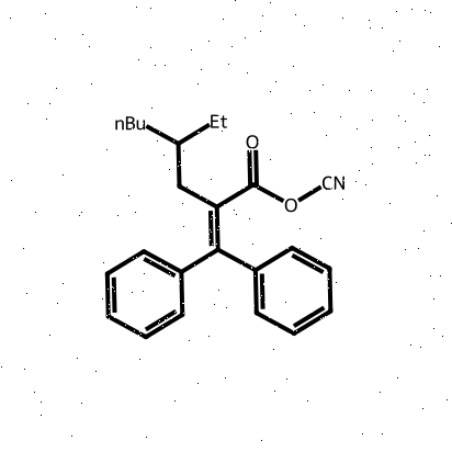 CCCCC(CC)CC(C(=O)OC#N)=C(c1ccccc1)c1ccccc1